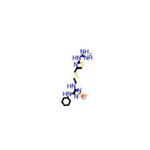 N=C(N)Nc1nc(CSCCNc2n[s+]([O-])nc2NC2CCCCC2)cs1